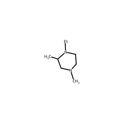 CCN1CCN(C)CC1C